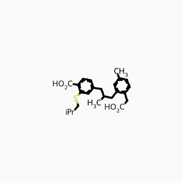 Cc1ccc(CC(=O)O)c(CC(C)Cc2ccc(C(=O)O)c(SCC(C)C)c2)c1